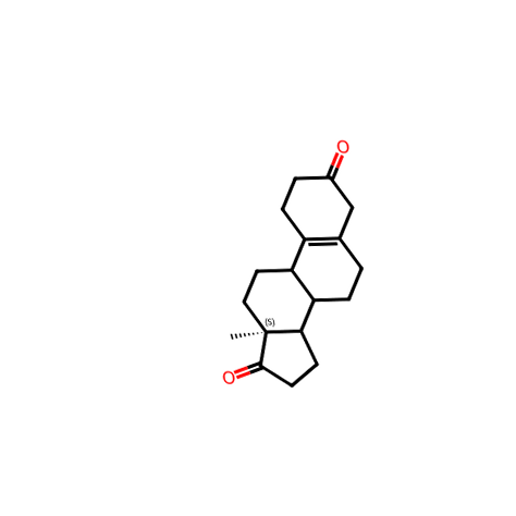 C[C@]12CCC3C4=C(CCC3C1CCC2=O)CC(=O)CC4